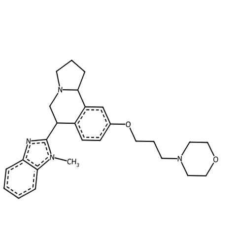 Cn1c(C2CN3CCCC3c3cc(OCCCN4CCOCC4)ccc32)nc2ccccc21